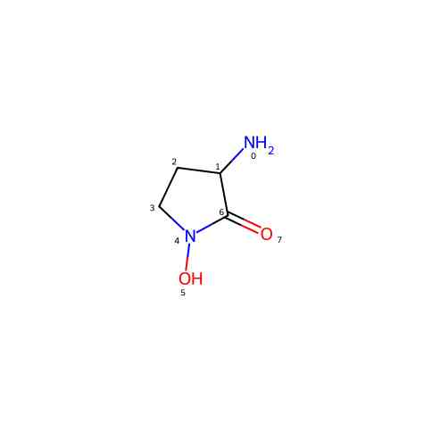 NC1CCN(O)C1=O